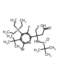 CC[Si](CC)(CC)c1c(F)c(C(CF)(CC(=O)O)N[S@+]([O-])C(C)(C)C)nc(Br)c1C(C)(C)C